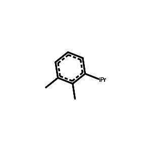 Cc1cccc(C(C)C)c1C